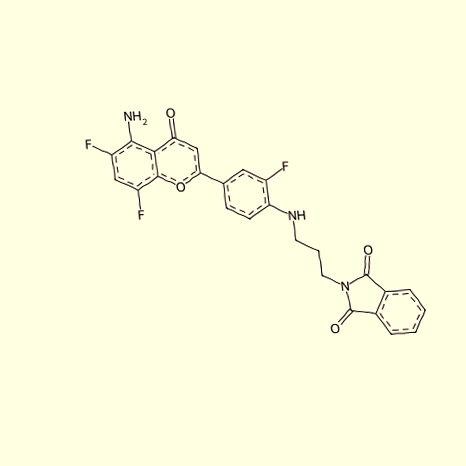 Nc1c(F)cc(F)c2oc(-c3ccc(NCCCN4C(=O)c5ccccc5C4=O)c(F)c3)cc(=O)c12